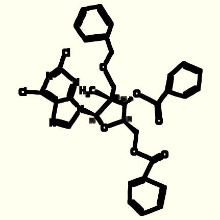 C[C@@]1(COCc2ccccc2)[C@H](OC(=O)c2ccccc2)[C@@H](COC(=O)c2ccccc2)O[C@H]1n1cnc2c(Cl)nc(Cl)nc21